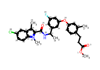 COC(=O)CCc1ccc(Oc2cc(F)cc(C(C)NC(=O)c3c(C)c4cc(Cl)ccc4n3C)c2)cc1C